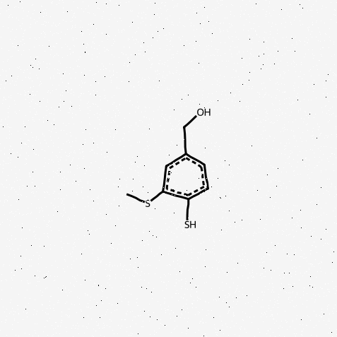 CSc1cc(CO)ccc1S